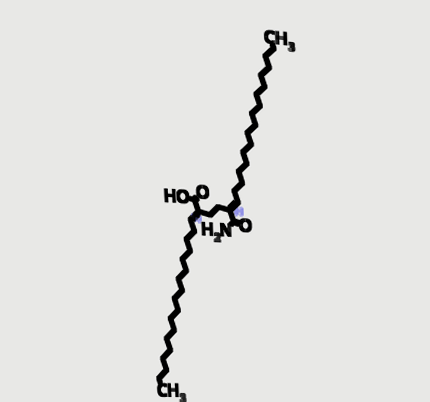 CCCCCCCCCCCCCCCCC/C=C(\CC/C(=C\CCCCCCCCCCCCCCCCC)C(=O)O)C(N)=O